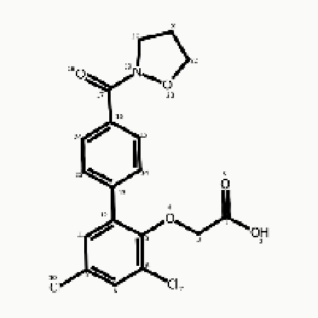 O=C(O)COc1c(Cl)cc(Cl)cc1-c1ccc(C(=O)N2CCCO2)cc1